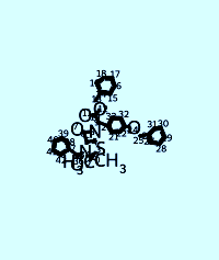 CC1(C)SC2C(C(=O)N2C(C(=O)OCc2ccccc2)c2ccc(OCc3ccccc3)cc2)N1C(=O)c1ccccc1